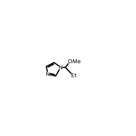 CCC(OC)n1ccnc1